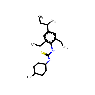 CCc1cc(C(C)CC)cc(CC)c1NC(=S)NC1CCC(C)CC1